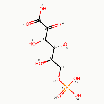 O=C(O)C(=O)[C@@H](O)[C@H](O)[C@H](O)COP(=O)(O)O